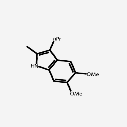 CCCc1c(C)[nH]c2cc(OC)c(OC)cc12